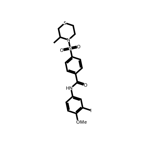 COc1ccc(NC(=O)c2ccc(S(=O)(=O)N3CCSCC3C)cc2)cc1I